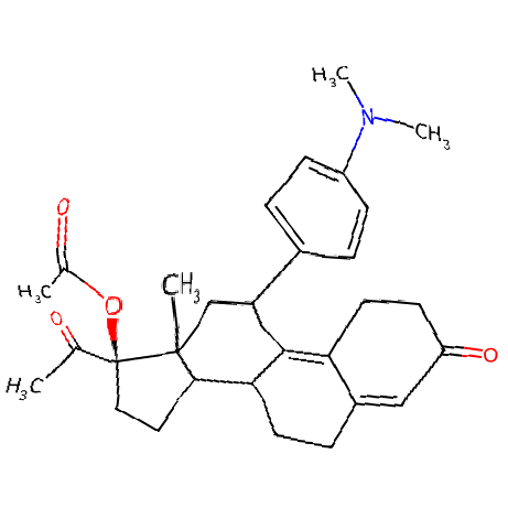 CC(=O)O[C@]1(C(C)=O)CCC2C3CCC4=CC(=O)CCC4=C3C(c3ccc(N(C)C)cc3)CC21C